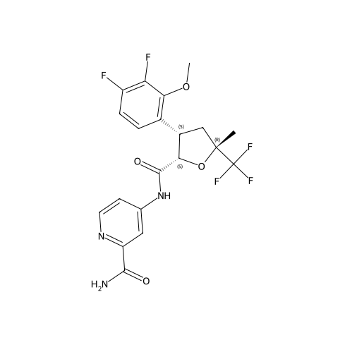 COc1c([C@@H]2C[C@](C)(C(F)(F)F)O[C@@H]2C(=O)Nc2ccnc(C(N)=O)c2)ccc(F)c1F